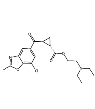 CCN(CC)CCOC(=O)[C@H]1C[C@@H]1C(=O)c1cc(Cl)c2oc(C)nc2c1